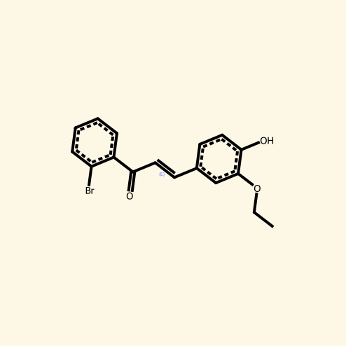 CCOc1cc(/C=C/C(=O)c2ccccc2Br)ccc1O